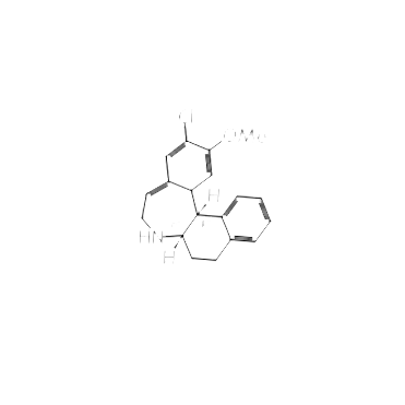 COC1=CC2C(=CCN[C@H]3CCc4ccccc4[C@@H]23)C=C1Cl